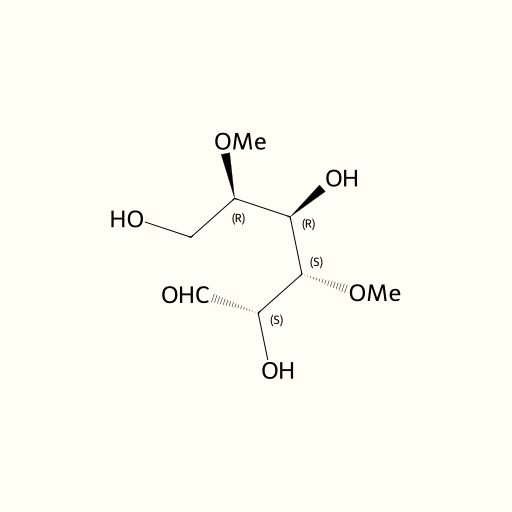 CO[C@@H]([C@H](O)[C@@H](CO)OC)[C@H](O)C=O